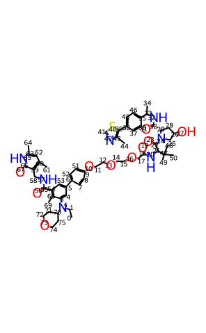 CCN(c1cc(-c2ccc(OCCOCCOCC(=O)NC(C(=O)N3C[C@H](O)C[C@H]3C(=O)NC(C)c3ccc(-c4scnc4C)cc3)C(C)(C)C)cc2)cc(C(=O)NCc2c(C)cc(C)[nH]c2=O)c1C)C1CCOCC1